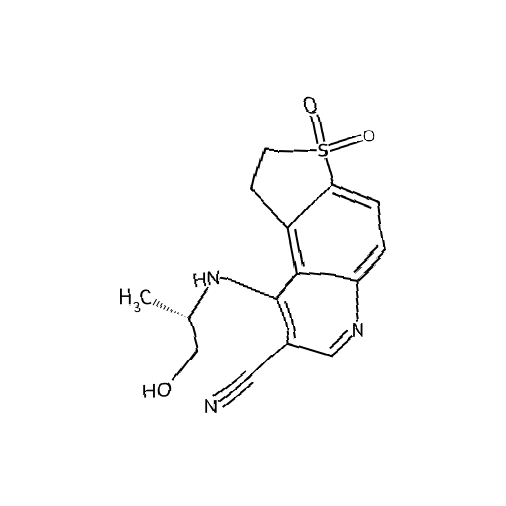 C[C@@H](CO)Nc1c(C#N)cnc2ccc3c(c12)CCS3(=O)=O